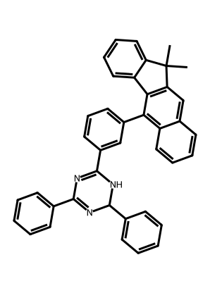 CC1(C)c2ccccc2-c2c1cc1ccccc1c2-c1cccc(C2=NC(c3ccccc3)=NC(c3ccccc3)N2)c1